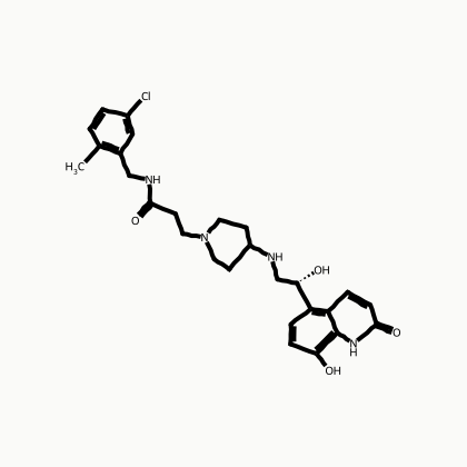 Cc1ccc(Cl)cc1CNC(=O)CCN1CCC(NC[C@H](O)c2ccc(O)c3[nH]c(=O)ccc23)CC1